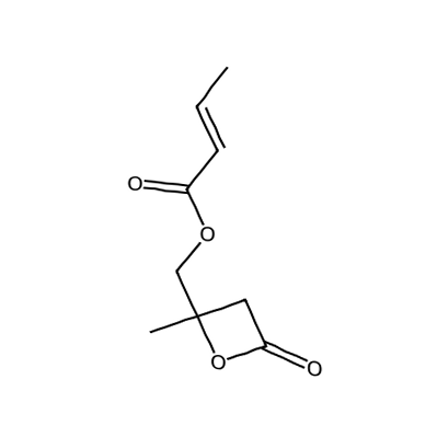 CC=CC(=O)OCC1(C)CC(=O)O1